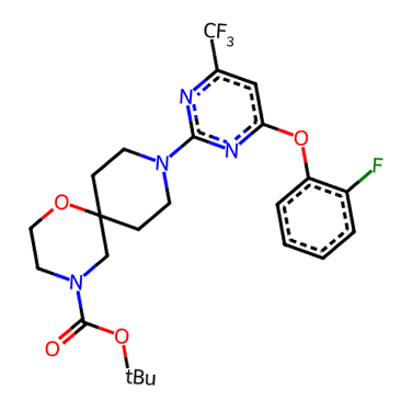 CC(C)(C)OC(=O)N1CCOC2(CCN(c3nc(Oc4ccccc4F)cc(C(F)(F)F)n3)CC2)C1